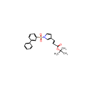 CC(C)(C)OC(=O)C=Cc1ccn(S(=O)(=O)c2cccc(-c3ccccc3)c2)c1